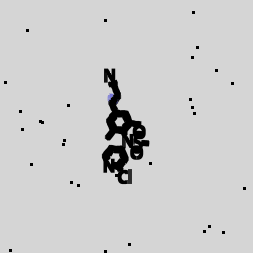 Cc1cc(/C=C/C#N)cc(C)c1N(c1ccnc(Cl)c1)S(C)(=O)=O